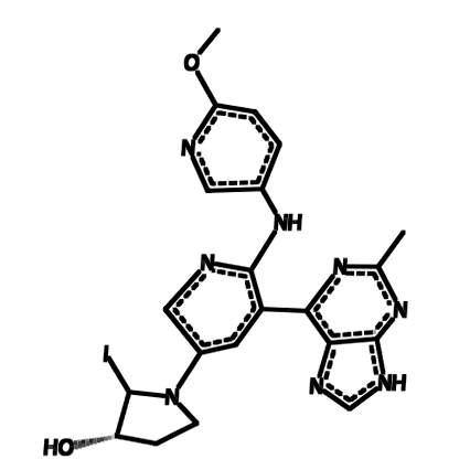 COc1ccc(Nc2ncc(N3CC[C@H](O)C3I)cc2-c2nc(C)nc3[nH]cnc23)cn1